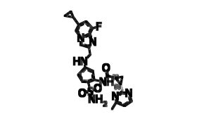 Cc1ccnc([C@H]2C[C@@H]2C(=O)Nc2cc(NCc3cn4cc(C5CC5)cc(F)c4n3)ccc2S(N)(=O)=O)n1